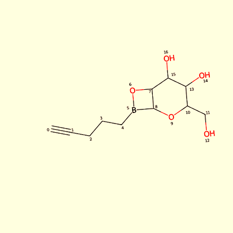 C#CCCCB1OC2C1OC(CO)C(O)C2O